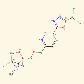 CN1C[C@@]2(COCc3ccc(-c4nnc(C(F)F)o4)cn3)C[C@@H]1CO2